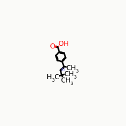 C/C(=C\C(C)(C)C)c1ccc(C(=O)O)cc1